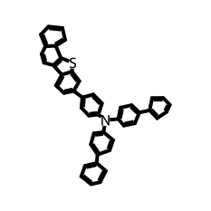 c1ccc(-c2ccc(N(c3ccc(-c4ccccc4)cc3)c3ccc(-c4ccc5c(c4)sc4c6ccccc6ccc54)cc3)cc2)cc1